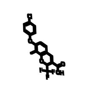 Cc1c(Oc2ccc(Cl)cc2)ccc2c1OC(C(F)(F)F)C(C(=O)O)=C2